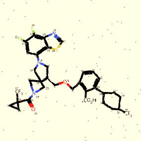 O=C(O)c1c(COC[C@@H]2CN(c3cc(F)c(F)c4ncsc34)CC23CN(C(=O)C2(C(F)(F)F)CC2)C3)cccc1C1CCC(C(F)(F)F)CC1